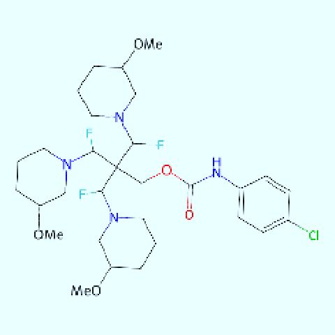 COC1CCCN(C(F)C(COC(=O)Nc2ccc(Cl)cc2)(C(F)N2CCCC(OC)C2)C(F)N2CCCC(OC)C2)C1